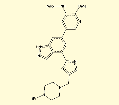 COc1ncc(-c2cc(-c3ncc(CN4CCN(C(C)C)CC4)o3)c3cn[nH]c3c2)cc1NSC